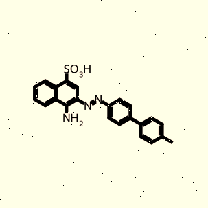 Cc1ccc(-c2ccc(/N=N/c3cc(S(=O)(=O)O)c4ccccc4c3N)cc2)cc1